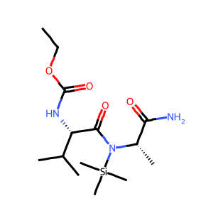 CCOC(=O)N[C@H](C(=O)N([C@@H](C)C(N)=O)[Si](C)(C)C)C(C)C